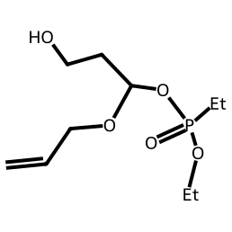 C=CCOC(CCO)OP(=O)(CC)OCC